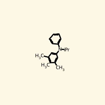 Cc1cc(N(c2ccccc2)C(C)C)cc(C)c1C